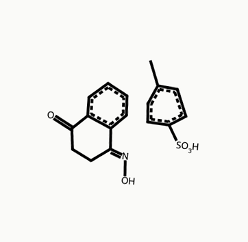 Cc1ccc(S(=O)(=O)O)cc1.O=C1CCC(=NO)c2ccccc21